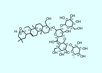 C[C@@H]1OC(O[C@H]2C(O[C@H]3[C@H](O)[C@@H](OC4O[C@H](CO)[C@@H](O)[C@H](O)[C@H]4O)C(O[C@H]4CC[C@@]5(C)C(CC[C@]6(C)C5CC=C5C7CC(C)(C)C[C@H]8O[C@@]78CC[C@]56C)[C@@]4(C)CO)O[C@@H]3C(=O)O)O[C@H](CO)[C@@H](O)[C@@H]2O)[C@H](O)[C@H](O)[C@H]1O